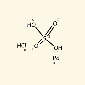 Cl.O=S(=O)(O)O.[Pd]